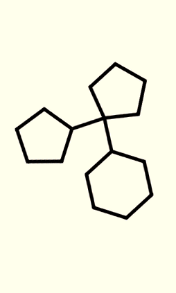 C1CCC(C2(C3CCCC3)CCCC2)CC1